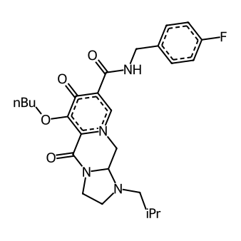 CCCCOc1c2n(cc(C(=O)NCc3ccc(F)cc3)c1=O)CC1N(CC(C)C)CCN1C2=O